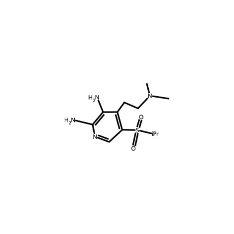 CC(C)S(=O)(=O)c1cnc(N)c(N)c1CCN(C)C